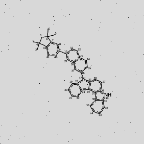 CC1(C)CC(C)(C)c2cc(-c3ccc4ccc(-n5c6ccccc6c6c7c(ccc65)[nH]c5ccccc57)cc4c3)ccc21